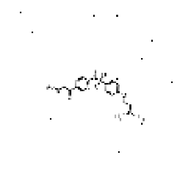 CC(=O)SCC(=O)c1ccc(NS(=O)(=O)c2ccc(OCCN(C)C)cc2)nc1